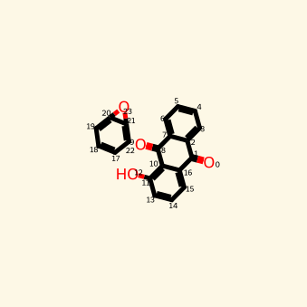 O=C1c2ccccc2C(=O)c2c(O)cccc21.c1ccc2c(c1)O2